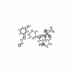 O=CCOc1cccc(F)c1[C@H]1CC[C@@H](OC[C@@H]2NCCC[C@@H]2NS(=O)(=O)C2CC2)CC1